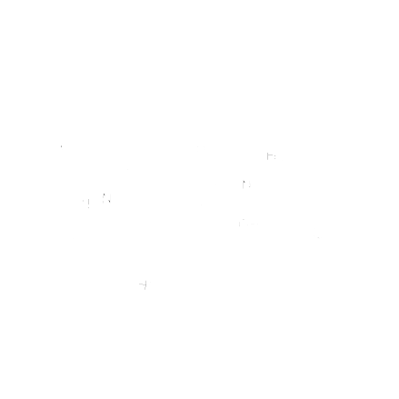 CN(Cc1ccco1)C(=O)c1cc(-c2ccnn2-c2ccccc2Cl)c(O)cc1O